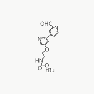 CC(C)(C)OC(=O)NCCOc1cncc(-c2ccnc(C=O)c2)c1